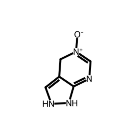 [O-][N+]1=CN=C2NNC=C2C1